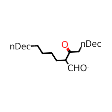 CCCCCCCCCCCCCCC([C]=O)C(=O)CCCCCCCCCCC